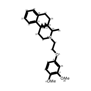 COc1ccc(OCCN2CCC34CCCC3(CCc3ccccc34)C2C)cc1OC